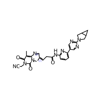 CC(/C=N\c1c(C)c(=O)n(CC#N)c(=O)n1C)=C/CC(=O)Nc1cccc(-c2cnc(N3CC4CC4C3)nc2)n1